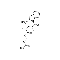 C[C@H](C[C@@H](C)C(=O)N1c2ccccc2C[C@H]1C(=O)O)C(=O)OCOC(=O)C(C)(C)C